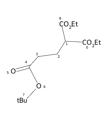 CCOC(=O)C(CCC(=O)OC(C)(C)C)C(=O)OCC